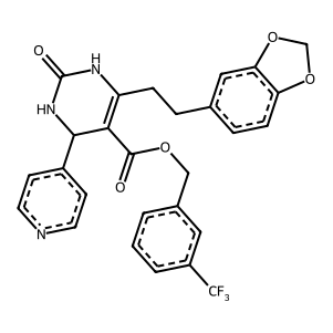 O=C1NC(CCc2ccc3c(c2)OCO3)=C(C(=O)OCc2cccc(C(F)(F)F)c2)C(c2ccncc2)N1